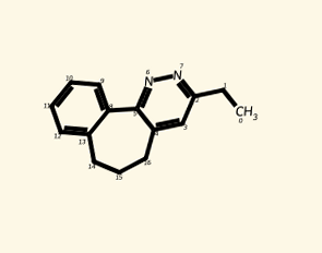 CCc1cc2c(nn1)-c1ccccc1CCC2